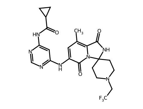 Cc1cc(Nc2cc(NC(=O)C3CC3)ncn2)c(=O)n2c1C(=O)NC21CCN(CC(F)(F)F)CC1